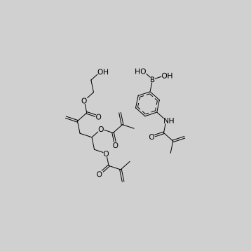 C=C(C)C(=O)Nc1cccc(B(O)O)c1.C=C(C)C(=O)OCC(CC(=C)C(=O)OCCO)OC(=O)C(=C)C